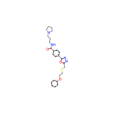 O=C(NCCCN1CCCC1)c1ccc(-c2nnc(CSCCOc3ccccc3)o2)cc1